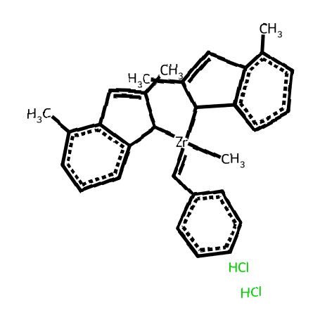 CC1=Cc2c(C)cccc2[CH]1[Zr]([CH3])(=[CH]c1ccccc1)[CH]1C(C)=Cc2c(C)cccc21.Cl.Cl